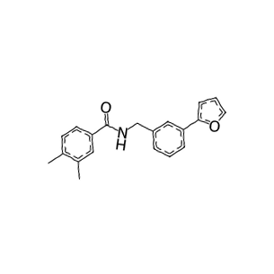 Cc1ccc(C(=O)NCc2cccc(-c3ccco3)c2)cc1C